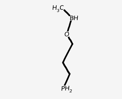 CBOCCCP